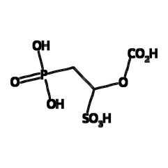 O=C(O)OC(CP(=O)(O)O)S(=O)(=O)O